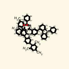 Cc1cc(C)c(-c2ccc3c4ccc(-c5c(C)cc(C)cc5C)cc4n(-c4ccc(-c5cccc6c5c5ccccc5n6-c5ccccc5)cc4-c4nc(-c5ccccc5)nc(-c5ccccc5)n4)c3c2)c(C)c1